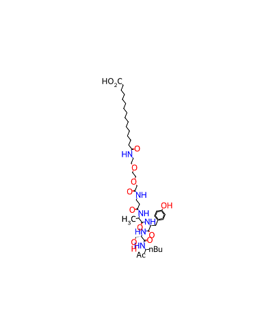 CCCC[C@H](NC(=O)[C@H](CO)NC(=O)[C@H](Cc1ccc(O)cc1)NC(=O)C(C)NC(=O)CCNC(=O)COCCOCCNC(=O)CCCCCCCCCCCCCCC(=O)O)C(C)=O